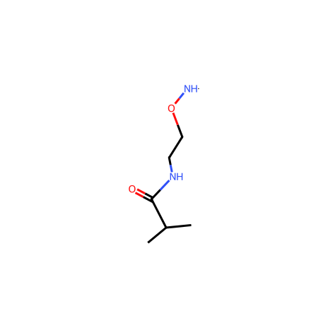 CC(C)C(=O)NCCO[NH]